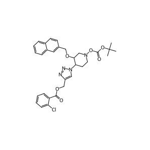 CC(C)(C)OC(=O)ON1CCC(n2cc(COC(=O)c3ccccc3Cl)nn2)C(OCc2ccc3ccccc3c2)C1